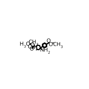 CCOC(=O)c1ccc(C2(N)CCN(C(=O)OC(C)(C)C)CC2)cc1